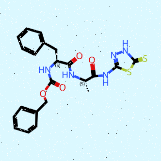 C[C@H](NC(=O)[C@H](Cc1ccccc1)NC(=O)OCc1ccccc1)C(=O)Nc1n[nH]c(=S)s1